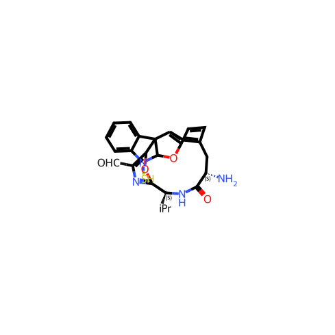 CC(C)[C@@H]1NC(=O)[C@@H](N)Cc2ccc3c(c2)C2(c4ccccc4N(S)C2O3)c2oc1nc2C=O